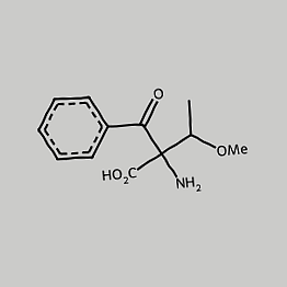 COC(C)C(N)(C(=O)O)C(=O)c1ccccc1